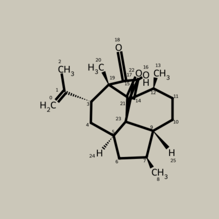 C=C(C)[C@H]1C[C@@H]2C[C@H](C)[C@H]3CC[C@H](C)C4=C(O)C(=O)[C@]1(C)C(=O)[C@]423